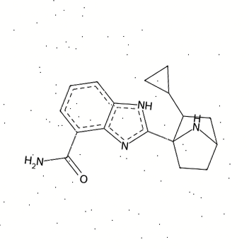 NC(=O)c1cccc2[nH]c(C34CCC(CC3C3CC3)N4)nc12